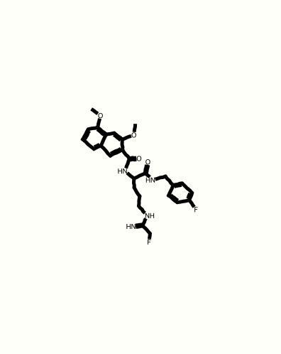 COc1cc2c(OC)cccc2cc1C(=O)NC(CCCNC(=N)CF)C(=O)NCc1ccc(F)cc1